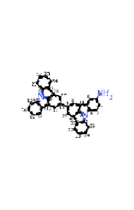 Nc1ccc2c(c1)c1cc(-c3cc4c5ccccc5n5c6ccccc6c(c3)c45)cc3c4ccccc4n2c31